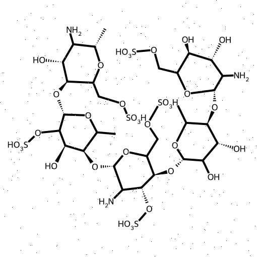 CC1O[C@@H](O[C@@H]2C(COS(=O)(=O)O)O[C@@H](O[C@@H]3C(C)O[C@@H](O[C@@H]4C(COS(=O)(=O)O)O[C@@H](C)C(N)[C@H]4O)C(OS(=O)(=O)O)[C@@H]3O)C(N)[C@H]2OS(=O)(=O)O)C(O)[C@@H](O)[C@@H]1O[C@@H]1OC(COS(=O)(=O)O)[C@@H](O)[C@H](O)C1N